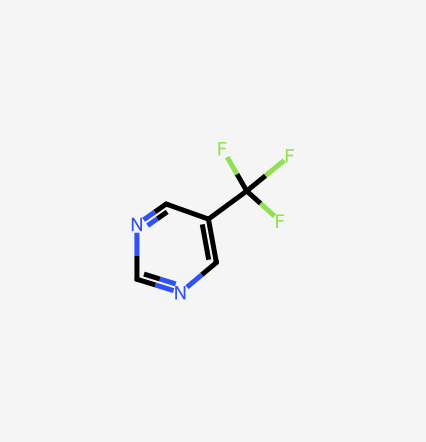 FC(F)(F)c1cncnc1